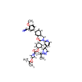 COc1ccc([C@H]2CC[C@H](CN(c3cc(-c4cnn(C(C)C)c4)ccn3)C(=O)[C@H]3CC[C@H](OC(=O)N4CC(OC(C)C)C4)CC3)CC2)cc1C#N